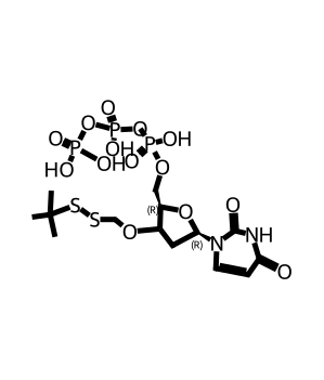 CC(C)(C)SSCOC1C[C@H](n2ccc(=O)[nH]c2=O)O[C@@H]1COP(=O)(O)OP(=O)(O)OP(=O)(O)O